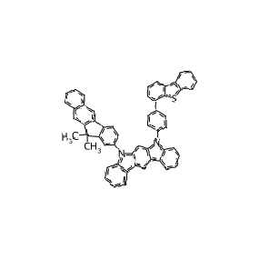 CC1(C)c2cc(-n3c4ccccc4c4cc5c6ccccc6n(-c6ccc(-c7cccc8c7sc7ccccc78)cc6)c5cc43)ccc2-c2cc3ccccc3cc21